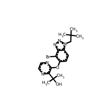 CC(C)(C)Cn1nnc2c(Br)c(Oc3nccnc3C(C)(C)O)ccc21